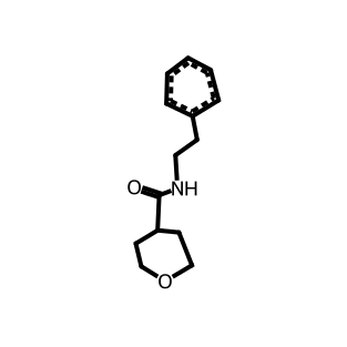 O=C(NCCc1ccccc1)C1CCOCC1